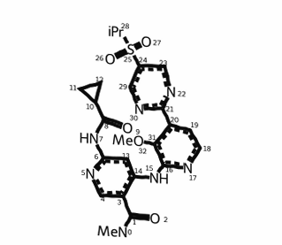 CNC(=O)c1cnc(NC(=O)C2CC2)cc1Nc1nccc(-c2ncc(S(=O)(=O)C(C)C)cn2)c1OC